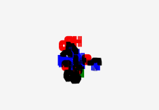 CN1CCCC1COc1nc(N2CCN(C(=O)O)C(CC#N)C2)c2[nH]c(=O)n(-c3cccc4cccc(Cl)c34)c(=O)c2n1